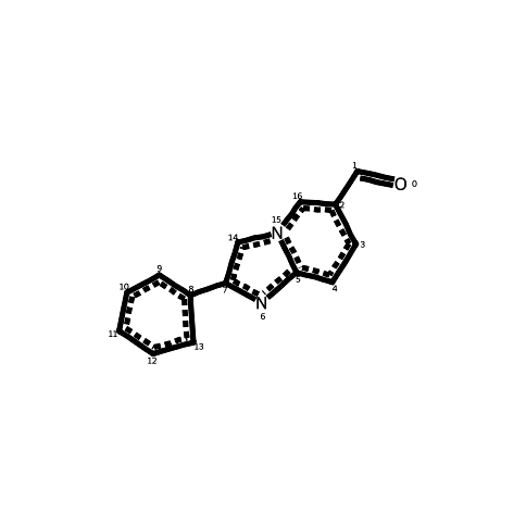 O=Cc1ccc2nc(-c3ccccc3)cn2c1